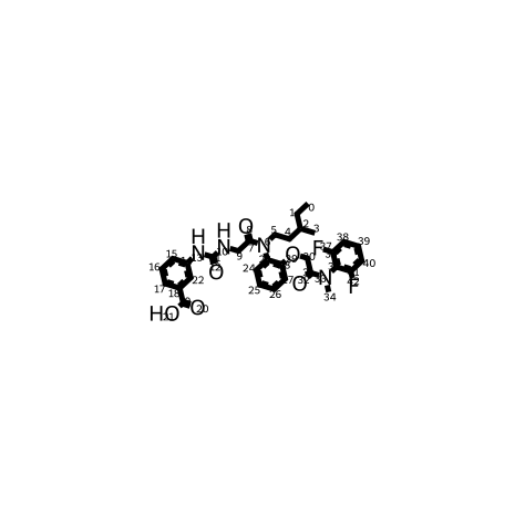 CCC(C)CCN(C(=O)CNC(=O)Nc1cccc(C(=O)O)c1)c1ccccc1OCC(=O)N(C)c1c(F)cccc1F